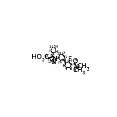 CN(C)C(=O)c1cccc(-c2cccc(-n3ncc(C(=O)O)c3C3CCCC3)c2)c1F